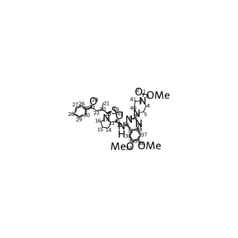 COC(=O)N1CCN(c2nc(NC(=O)[C@H]3CCCN3C(=S)C(C)CC(=O)c3ccccc3)c3cc(OC)c(OC)cc3n2)CC1